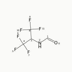 O=[C]NC(C(F)(F)F)C(F)(F)F